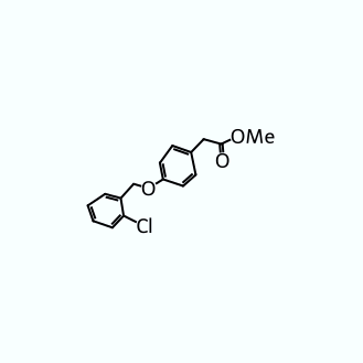 COC(=O)Cc1ccc(OCc2ccccc2Cl)cc1